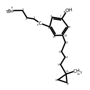 CC(C)(C)CCCCc1cc(O)cc(CCCCC2(C)CC2)c1